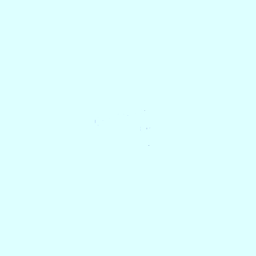 [Cr+3].[O-2].[O-2].[O-2].[Y+3]